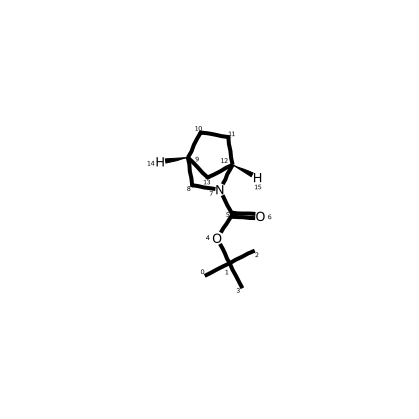 CC(C)(C)OC(=O)N1C[C@@H]2CC[C@H]1C2